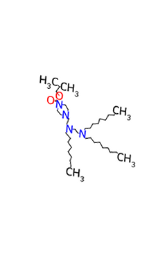 CCCCCCCCCN(CCCCCCCCC)CCN(CCCCCCCCC)CCN1CCN(C(=O)OCC(C)C)CC1